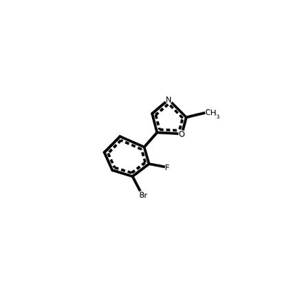 Cc1ncc(-c2cccc(Br)c2F)o1